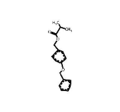 CC(C)C(=O)OCc1ccc(OCc2ccccc2)cc1